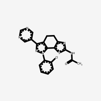 CC(=O)Nc1nc2c(s1)-c1c(c(-c3cncnc3)nn1-c1ccccc1Cl)CC2